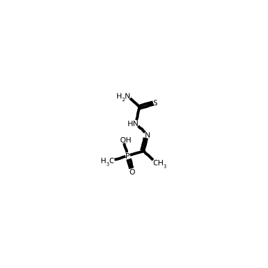 CC(=NNC(N)=S)P(C)(=O)O